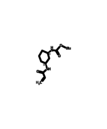 C=CC(=O)N[C@H]1CCC[C@@H](NC(=O)OC(C)(C)C)C1